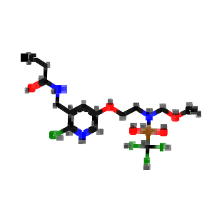 CCC(=O)NCc1cc(OCCN(COC)S(=O)(=O)C(F)(F)F)cnc1Cl